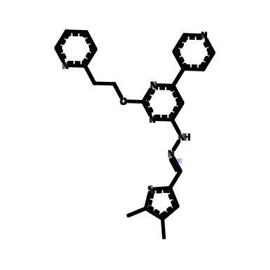 Cc1cc(/C=N/Nc2cc(-c3ccncc3)nc(OCCc3ccccn3)n2)sc1C